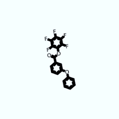 O=C(Oc1c(F)c(F)c(F)c(F)c1F)c1cccc(Oc2ccccc2)c1